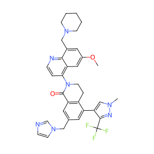 COc1cc(CN2CCCCC2)c2nccc(N3CCc4c(cc(Cn5ccnc5)cc4-c4cn(C)nc4C(F)(F)F)C3=O)c2c1